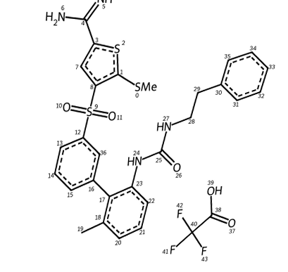 CSc1sc(C(=N)N)cc1S(=O)(=O)c1cccc(-c2c(C)cccc2NC(=O)NCCc2ccccc2)c1.O=C(O)C(F)(F)F